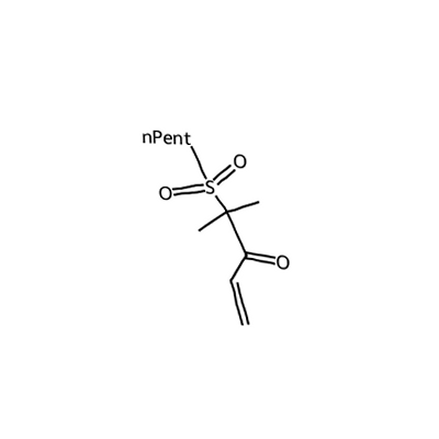 C=CC(=O)C(C)(C)S(=O)(=O)CCCCC